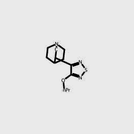 CCCOc1nsnc1C1CN2CCC1CC2